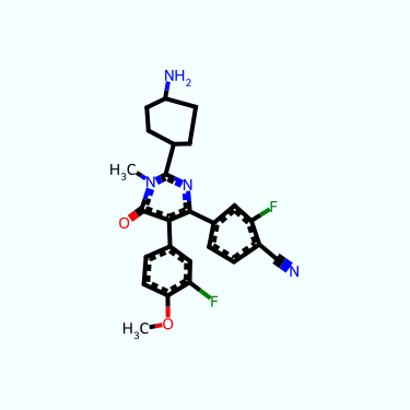 COc1ccc(-c2c(-c3ccc(C#N)c(F)c3)nc(C3CCC(N)CC3)n(C)c2=O)cc1F